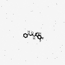 O=C(CNC1CCCCC1)Nc1c[nH]c2cc(F)c(F)cc12